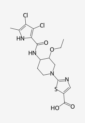 CCOC1CN(c2ncc(C(=O)O)s2)CCC1NC(=O)c1[nH]c(C)c(Cl)c1Cl